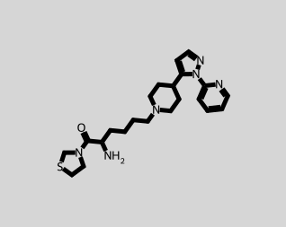 NC(CCCCN1CCC(c2ccnn2-c2ccccn2)CC1)C(=O)N1CCSC1